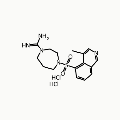 Cc1cncc2cccc(S(=O)(=O)N3CCCN(C(=N)N)CC3)c12.Cl.Cl